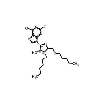 CCCCCOCC1O[C@@H](n2cnc3c(Cl)nc(Cl)nc32)[C@H](O)[C@@H]1OCCCCC